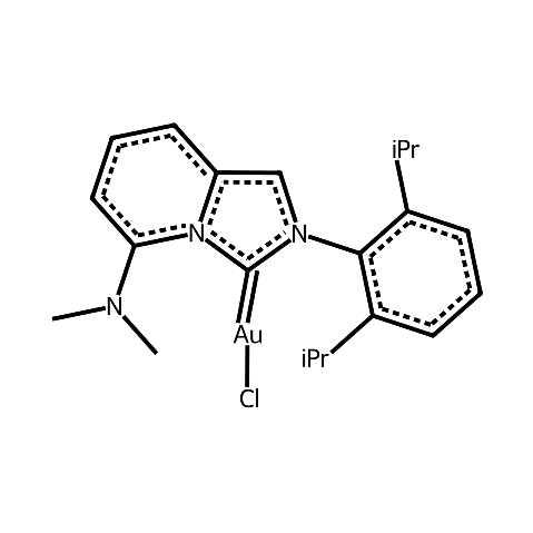 CC(C)c1cccc(C(C)C)c1-n1cc2cccc(N(C)C)n2[c]1=[Au][Cl]